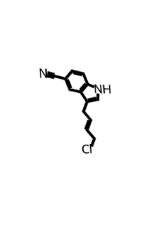 N#Cc1ccc2[nH]cc(CC=CCCl)c2c1